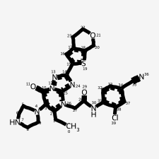 CCc1c(N2CCNCC2)c(=O)n2nc(-c3cc4c(s3)COCC4)nc2n1CC(=O)Nc1ccc(C#N)cc1Cl